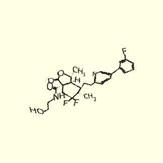 C[C@H]1OC(=O)[C@]2(C(=O)NCCO)CC(F)(F)[C@@H](C)[C@H](CCc3ccc(-c4cccc(F)c4)cn3)[C@H]12